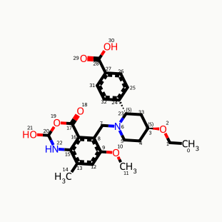 CCO[C@H]1CCN(Cc2c(OC)cc(C)c3c2C(=O)OC(O)N3)[C@H](c2ccc(C(=O)O)cc2)C1